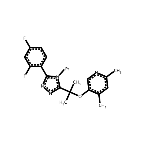 Cc1cc(C)c(OC(C)(C)c2nnc(-c3ccc(F)cc3F)n2C(C)C)cn1